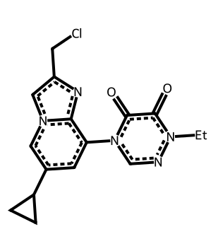 CCn1ncn(-c2cc(C3CC3)cn3cc(CCl)nc23)c(=O)c1=O